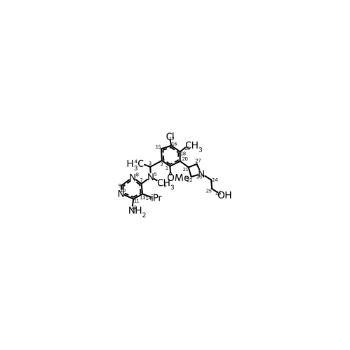 COc1c(C(C)N(C)c2ncnc(N)c2C(C)C)cc(Cl)c(C)c1C1CN(CCO)C1